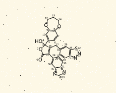 O=C1OC(O)(c2ccc3c(c2)OCCCO3)C(Cc2ccc3nnsc3c2)=C1c1ccc2nsnc2c1